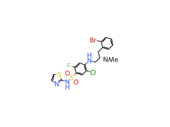 CN[C@H](CNc1cc(F)c(S(=O)(=O)Nc2nccs2)cc1Cl)Cc1ccccc1Br